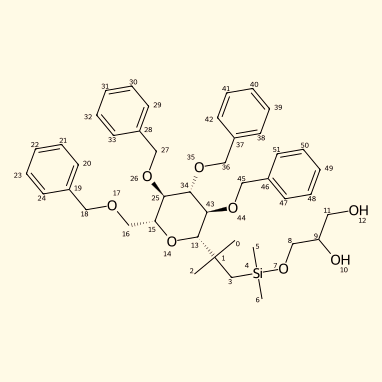 CC(C)(C[Si](C)(C)OCC(O)CO)[C@@H]1O[C@H](COCc2ccccc2)[C@@H](OCc2ccccc2)[C@H](OCc2ccccc2)[C@H]1OCc1ccccc1